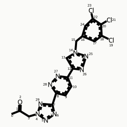 CC(=O)Cn1nnc(-c2ccc(-c3cn(Cc4cc(Cl)c(Cl)c(Cl)c4)nn3)nn2)n1